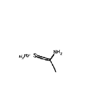 CC(N)=S.[PbH2]